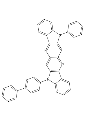 c1ccc(-c2ccc(-n3c4ccccc4c4nc5cc6c(nc5cc43)c3ccccc3n6-c3ccccc3)cc2)cc1